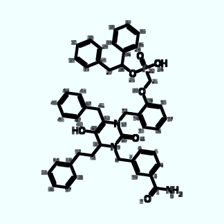 NC(=O)c1cccc(CN2C(=O)N(Cc3ccccc3OCP(=O)(O)OC(Cc3ccccc3)c3ccccc3)C(Cc3ccccc3)=C(O)C2CCc2ccccc2)c1